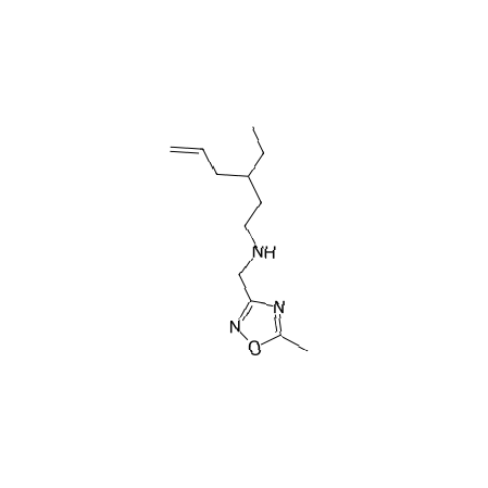 C=CCC(CC)CCNCc1noc(C)n1